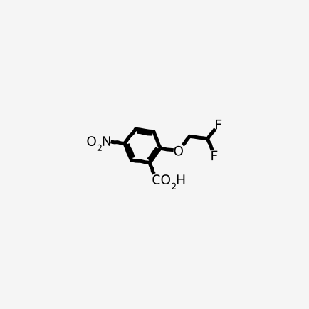 O=C(O)c1cc([N+](=O)[O-])ccc1OCC(F)F